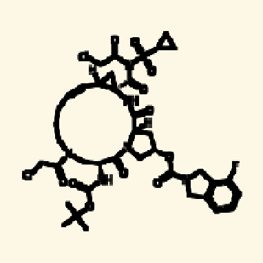 CC(C)(C)OC(=O)N[C@H]1CN(C(=O)CCl)CCC/C=C\[C@@H]2C[C@@]2(C(=O)N(C(=O)CCl)S(=O)(=O)C2CC2)NC(=O)[C@@H]2C[C@@H](OC(=O)N3Cc4cccc(F)c4C3)CN2C1=O